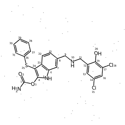 NC(=O)Oc1[nH]c2cc(CNCc3cc(Cl)cc(Cl)c3O)ccc2c1Sc1ccccc1